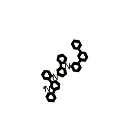 Cn1c2ccccc2c2ccc3c(c4ccccc4n3-c3ccc4c(c3)c3ccccc3n4-c3cccc(-c4cccc(-c5ccccc5)c4)c3)c21